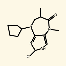 CC1CN(C2CCCC2)C2=NC(Cl)NC=C2N(C)C1=O